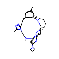 C=C1c2cc(C)ccc2CCc2nnc(C)n2CCN(C)c2cc(N3CCC3)nc3cc(nn23)[C@@H]2CCCCN12